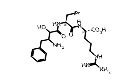 CC(C)C[C@H](NC(=O)C(O)C(N)Cc1ccccc1)C(=O)N[C@@H](CCCNC(=N)N)C(=O)O